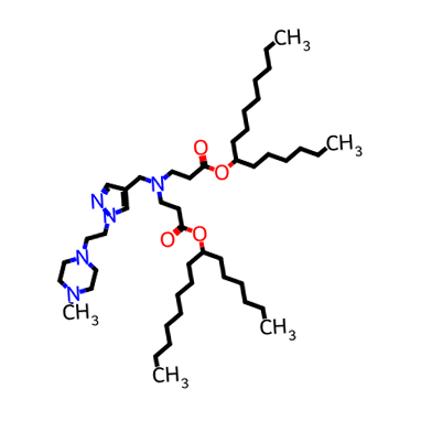 CCCCCCCCC(CCCCCC)OC(=O)CCN(CCC(=O)OC(CCCCCC)CCCCCCCC)Cc1cnn(CCN2CCN(C)CC2)c1